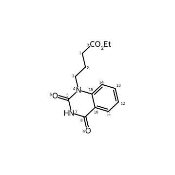 CCOC(=O)CCCn1c(=O)[nH]c(=O)c2ccccc21